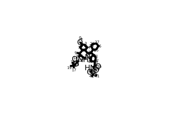 COc1ccc2c(c1)C(C)C(C)(NC(=O)OC(C)(C)C)Cn1c-2c(C2CCCCC2)c2ccc(C(=O)NS(=O)(=O)N(C)C)cc21